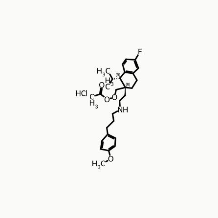 COc1ccc(CCCNCC[C@]2(COOC(C)=O)CCc3cc(F)ccc3[C@H]2C(C)C)cc1.Cl